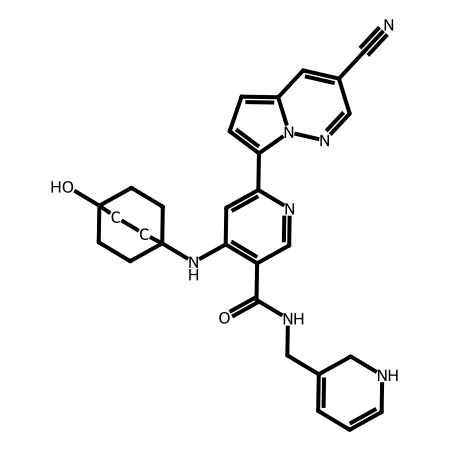 N#Cc1cnn2c(-c3cc(NC45CCC(O)(CC4)CC5)c(C(=O)NCC4=CC=CNC4)cn3)ccc2c1